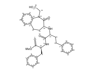 COC(=O)[C@H](Cc1ccccc1)NC(=O)C(CCc1ccccc1)NC1CCc2ccccc2N(CC(=O)O)C1=O